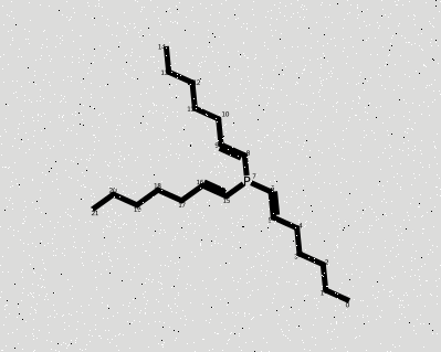 CCCCCC=CP(C=CCCCCC)C=CCCCCC